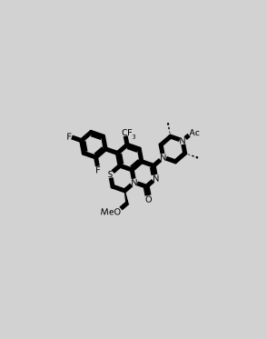 COC[C@H]1CSc2c(-c3ccc(F)cc3F)c(C(F)(F)F)cc3c(N4C[C@@H](C)N(C(C)=O)[C@@H](C)C4)nc(=O)n1c23